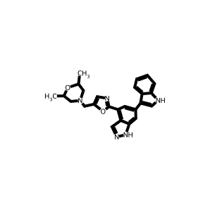 CC1CN(Cc2cnc(-c3cc(-c4c[nH]c5ccccc45)cc4[nH]ncc34)o2)CC(C)O1